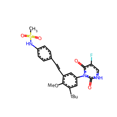 COc1c(/C=C/c2ccc(NS(C)(=O)=O)cc2)cc(-n2c(=O)[nH]cc(F)c2=O)cc1C(C)(C)C